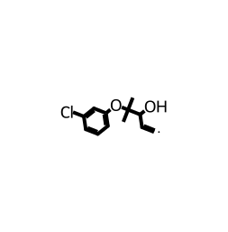 [CH]=CC(O)C(C)(C)Oc1cccc(Cl)c1